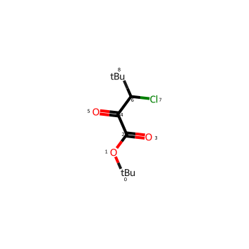 CC(C)(C)OC(=O)C(=O)C(Cl)C(C)(C)C